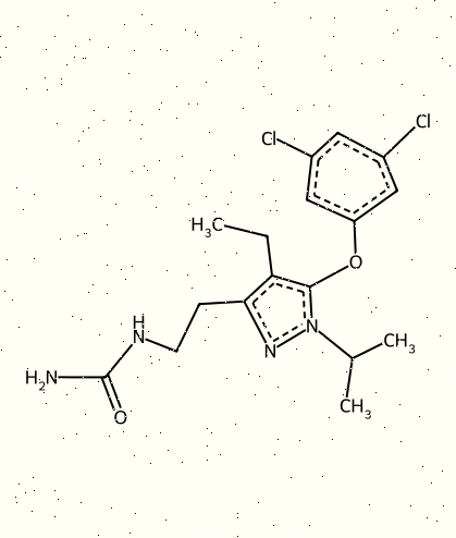 CCc1c(CCNC(N)=O)nn(C(C)C)c1Oc1cc(Cl)cc(Cl)c1